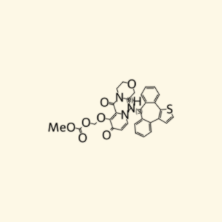 COC(=O)OCOc1c2n(ccc1=O)N([C@H]1c3ccccc3-c3ccsc3-c3ccccc31)[C@@H]1COCCN1C2=O